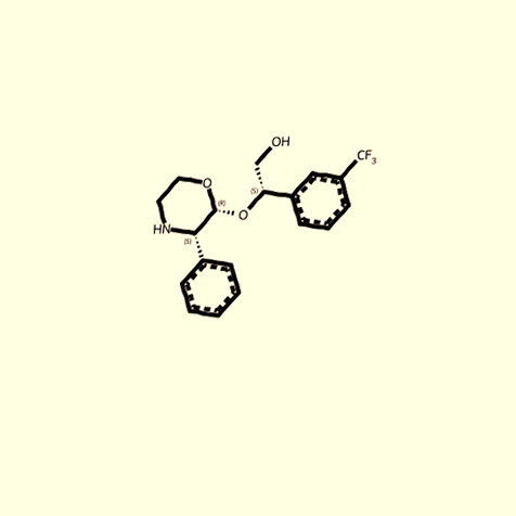 OC[C@@H](O[C@H]1OCCN[C@H]1c1ccccc1)c1cccc(C(F)(F)F)c1